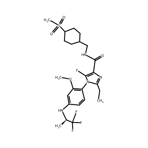 CCc1nc(C(=O)NCC2CCC(S(C)(=O)=O)CC2)c(F)n1-c1ccc(N[C@H](C)C(F)(F)F)cc1OC